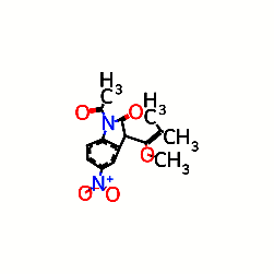 COC(=C(C)C)C1C(=O)N(C(C)=O)c2ccc([N+](=O)[O-])cc21